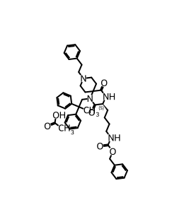 CC(=O)O.CC(CN1C(=O)[C@H](CCCCNC(=O)OCc2ccccc2)NC(=O)C12CCN(CCc1ccccc1)CC2)(c1ccccc1)c1ccccc1